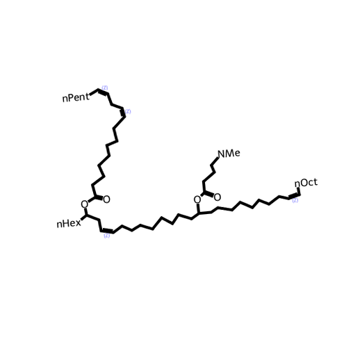 CCCCC/C=C\C/C=C\CCCCCCCC(=O)OC(C/C=C\CCCCCCCCC(CCCCCCCC/C=C\CCCCCCCC)OC(=O)CCCNC)CCCCCC